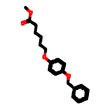 COC(=O)CCCCCOc1ccc(OCc2ccccc2)cc1